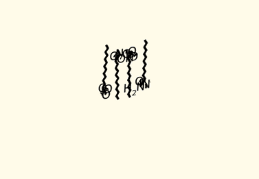 CCCCCCCCCCCCOP(C)(=O)OC.CCCCCCCCCCCCP(=O)(O)N(C)C.CCCCCCCCCCCCP(=O)(OC)OC.CCCCCCCCCCCCP(N)(=O)N(C)C